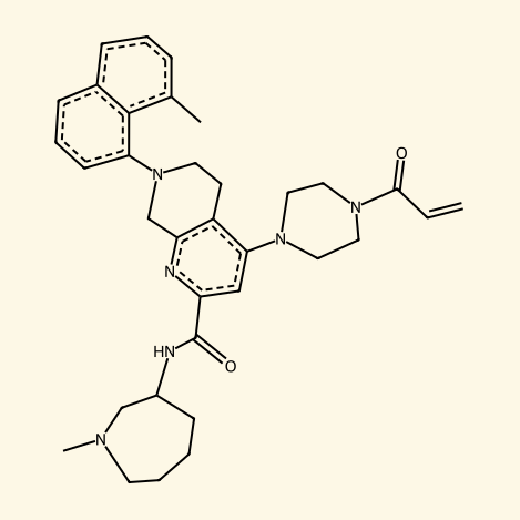 C=CC(=O)N1CCN(c2cc(C(=O)NC3CCCCN(C)C3)nc3c2CCN(c2cccc4cccc(C)c24)C3)CC1